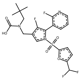 CC(C)(C)CN(Cc1cn(S(=O)(=O)c2ccc(C(F)F)o2)c(-c2cccnc2F)c1F)C(=O)O